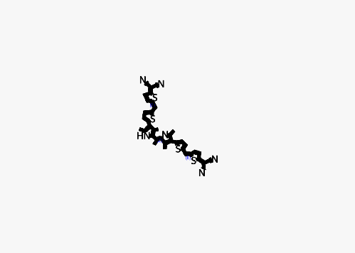 CC1=N/C(=C(/C)c2[nH]c(C)c(-c3ccc(/C=c4\ccc(=C(C#N)C#N)s4)s3)c2C)C(C)=C1c1ccc(/C=c2\ccc(=C(C#N)C#N)s2)s1